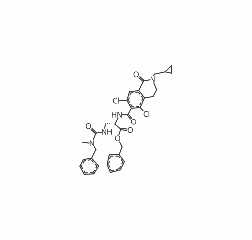 CN(Cc1ccccc1)C(=O)NC[C@H](NC(=O)c1c(Cl)cc2c(c1Cl)CCN(CC1CC1)C2=O)C(=O)OCc1ccccc1